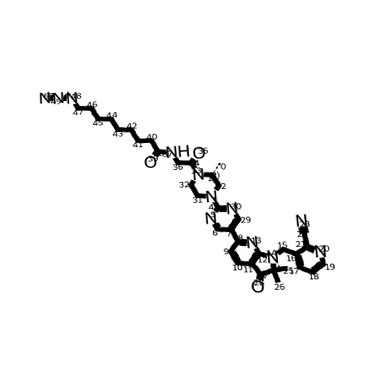 C[C@@H]1CN(c2ncc(-c3ccc4c(n3)N(Cc3cccnc3C#N)C(C)(C)C4=O)cn2)CCN1C(=O)CNC(=O)CCCCCCCCN=[N+]=[N-]